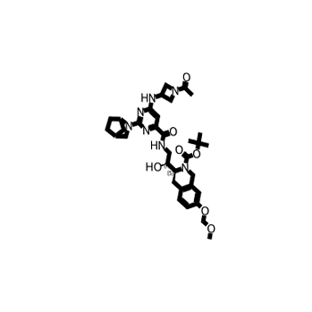 COCOc1ccc2c(c1)CN(C(=O)OC(C)(C)C)[C@H]([C@H](O)CNC(=O)c1cc(NC3CN(C(C)=O)C3)nc(N3CC4CCC3C4)n1)C2